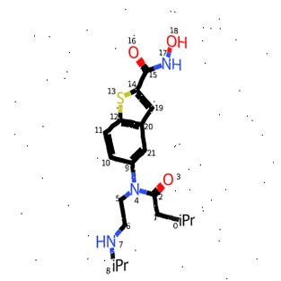 CC(C)CC(=O)N(CCNC(C)C)c1ccc2sc(C(=O)NO)cc2c1